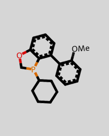 COc1ccccc1-c1cccc2c1P(C1CCCCC1)CO2